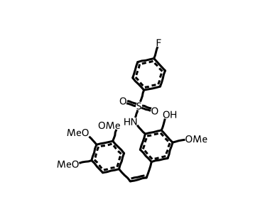 COc1cc(/C=C\c2cc(OC)c(OC)c(OC)c2)cc(NS(=O)(=O)c2ccc(F)cc2)c1O